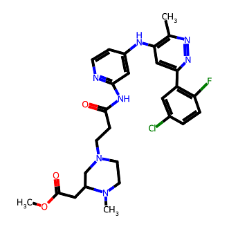 COC(=O)CC1CN(CCC(=O)Nc2cc(Nc3cc(-c4cc(Cl)ccc4F)nnc3C)ccn2)CCN1C